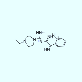 CCN1CCN(/C(=C/C(=N)C(=N)c2ccccc2N)NC)CC1